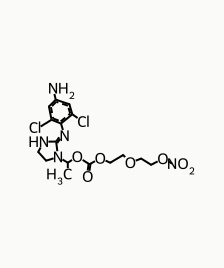 CC(OC(=O)OCCOCCO[N+](=O)[O-])N1CCN/C1=N\c1c(Cl)cc(N)cc1Cl